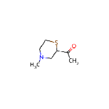 CC(=O)C1CN(C)CCS1